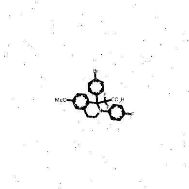 COc1ccc2c(c1)CCN(c1ccc(F)cc1)C2(c1ccc(Br)cc1)C(F)(F)C(=O)O